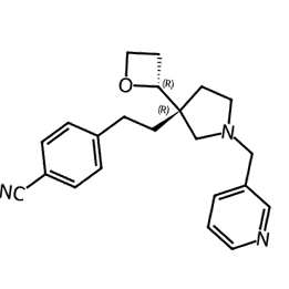 N#Cc1ccc(CC[C@@]2([C@H]3CCO3)CCN(Cc3cccnc3)C2)cc1